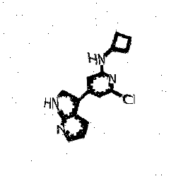 Clc1cc(-c2c[nH]c3ncccc23)cc(NC2CCC2)n1